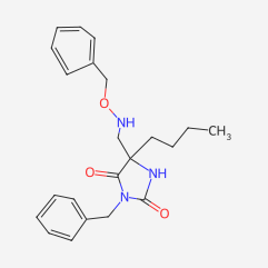 CCCCC1(CNOCc2ccccc2)NC(=O)N(Cc2ccccc2)C1=O